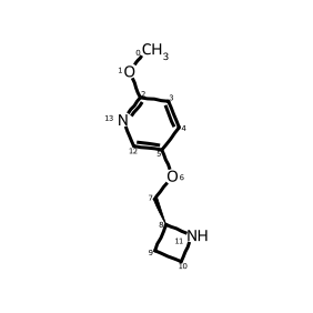 COc1ccc(OC[C@@H]2CCN2)cn1